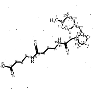 CN1[13CH2][13CH2]N([13CH2][13CH]2[13CH2][13CH2][13CH2]N2CC(=O)[15NH]CCCC(=O)[15NH]CCCC(=O)O)[13CH2][13CH2]1